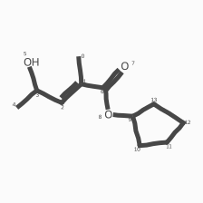 CC(=CC(C)O)C(=O)OC1CCCC1